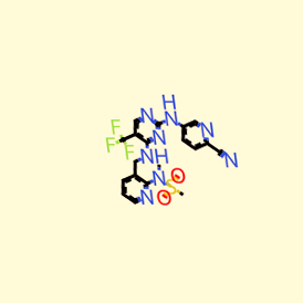 CN(c1ncccc1CNc1nc(Nc2ccc(C#N)nc2)ncc1C(F)(F)F)S(C)(=O)=O